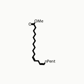 CCCCC/C=C\C/C=C\CCCCCCCCCC(=O)OC